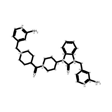 Nc1cc(CN2CCC(C(=O)N3CCC(n4c(=O)n(Cc5ccnc(N)c5)c5ccccc54)CC3)CC2)ccn1